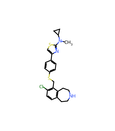 CN(c1nc(-c2ccc(SCc3c(Cl)ccc4c3CCNCC4)cc2)cs1)C1CC1